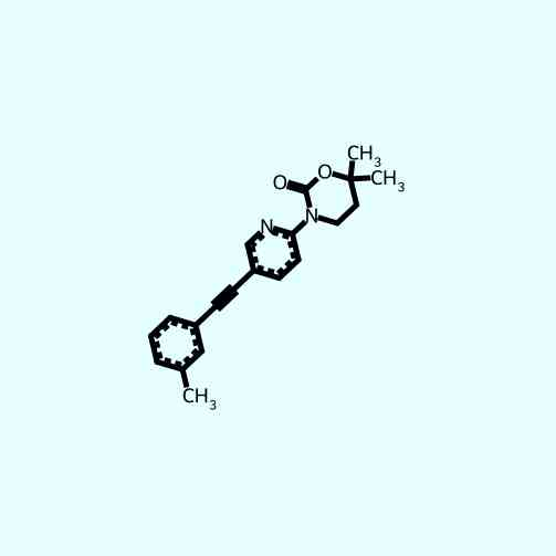 Cc1cccc(C#Cc2ccc(N3CCC(C)(C)OC3=O)nc2)c1